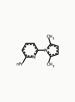 CCCc1cccc(-n2c(C)ccc2C)n1